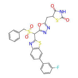 O=C1NC(=O)C(Cc2nnc(C(c3nc4ccc(-c5cccc(F)c5)cc4s3)S(=O)(=O)Cc3ccccc3)o2)S1